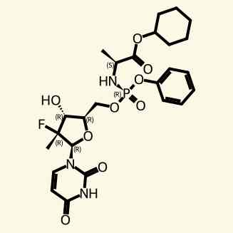 C[C@H](N[P@@](=O)(OC[C@H]1O[C@@H](n2ccc(=O)[nH]c2=O)[C@](C)(F)[C@@H]1O)Oc1ccccc1)C(=O)OC1CCCCC1